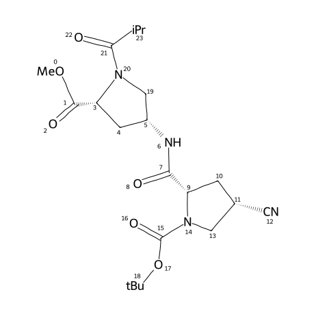 COC(=O)[C@H]1C[C@@H](NC(=O)[C@@H]2C[C@H](C#N)CN2C(=O)OC(C)(C)C)CN1C(=O)C(C)C